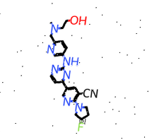 CN(CCO)Cc1ccc(Nc2nccc(-c3cnc(N4CC[C@H](F)C4)c(C#N)c3)n2)cn1